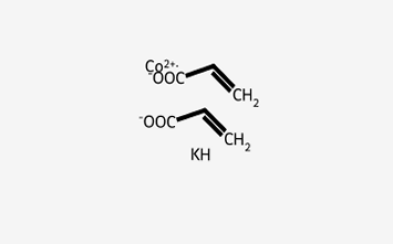 C=CC(=O)[O-].C=CC(=O)[O-].[Co+2].[KH]